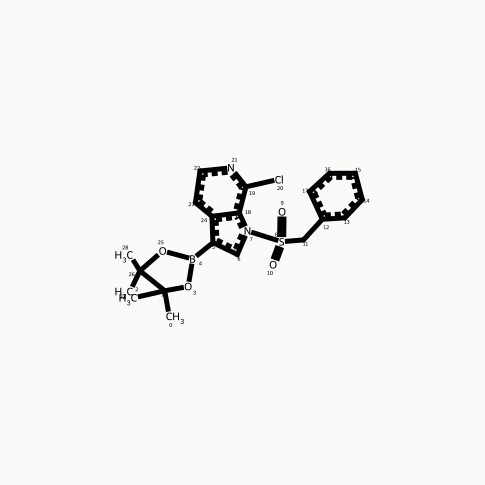 CC1(C)OB(c2cn(S(=O)(=O)Cc3ccccc3)c3c(Cl)nccc23)OC1(C)C